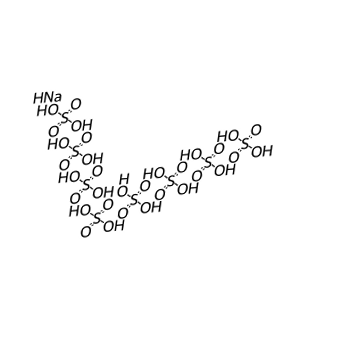 O=S(=O)(O)O.O=S(=O)(O)O.O=S(=O)(O)O.O=S(=O)(O)O.O=S(=O)(O)O.O=S(=O)(O)O.O=S(=O)(O)O.O=S(=O)(O)O.[NaH]